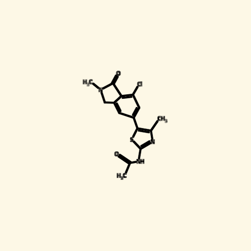 CC(=O)Nc1nc(C)c(-c2cc(Cl)c3c(c2)CN(C)C3=O)s1